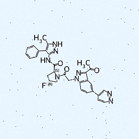 CC(=O)c1nn(CC(=O)N2C[C@H](F)C[C@H]2C(=O)Nc2n[nH]c(C)c2-c2ccccc2)c2ccc(-c3ccnnc3)cc12